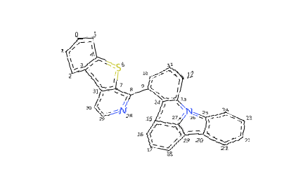 c1ccc2c(c1)sc1c(-c3cccc4c3c3cccc5c6ccccc6n4c53)nccc12